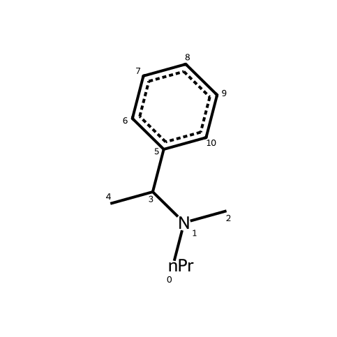 CCCN(C)C(C)c1ccccc1